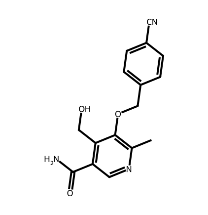 Cc1ncc(C(N)=O)c(CO)c1OCc1ccc(C#N)cc1